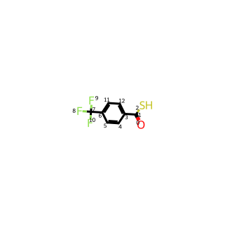 O=C(S)c1ccc(C(F)(F)F)cc1